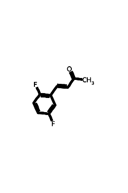 CC(=O)C=Cc1cc(F)ccc1F